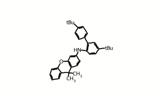 CC(C)(C)c1ccc(-c2cc(C(C)(C)C)ccc2Nc2ccc3c(c2)Oc2ccccc2C3(C)C)cc1